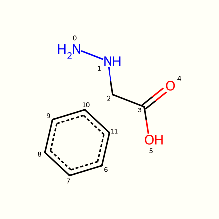 NNCC(=O)O.c1ccccc1